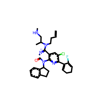 C=CCCN(/C(=N/C)c1cc(Cl)c(C2=CCCC=C2F)nc1N(C=O)C1CCc2ccccc21)C(C)CNC